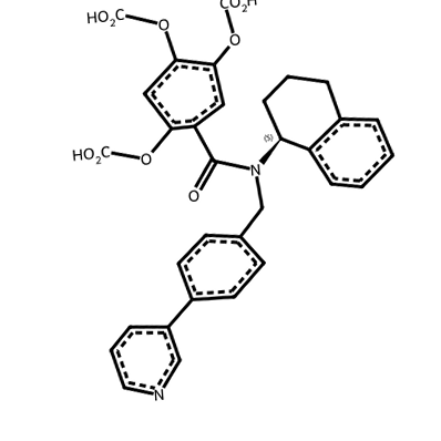 O=C(O)Oc1cc(OC(=O)O)c(C(=O)N(Cc2ccc(-c3cccnc3)cc2)[C@H]2CCCc3ccccc32)cc1OC(=O)O